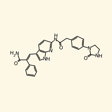 NC(=O)/C(=C/c1c[nH]c2nc(NC(=O)Cc3ccc(N4CCNC4=O)cc3)ccc12)c1ccccc1